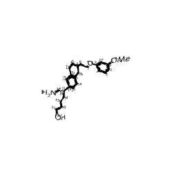 COc1cccc(OCCC2CCc3cc([C@H](CN)CCCCO)ccc3C2)c1